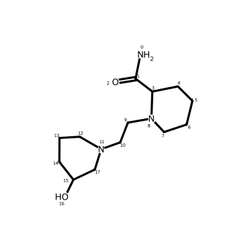 NC(=O)C1C[CH]CCN1CCN1CCCC(O)C1